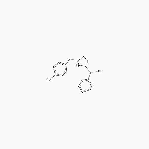 Cc1ccc(C[C@@H]2CC[C@H]([C@H](O)c3ccccc3)N2)cc1